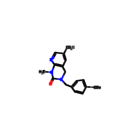 CSc1ccc(CN2Cc3cc(C(=O)O)cnc3N(C)C2=O)cc1